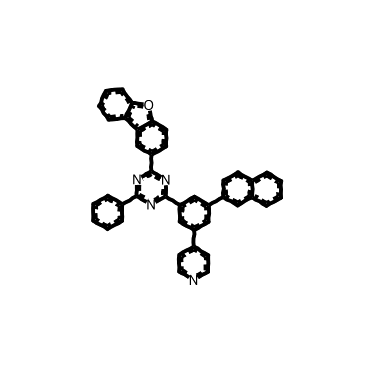 c1ccc(-c2nc(-c3cc(-c4ccncc4)cc(-c4ccc5ccccc5c4)c3)nc(-c3ccc4oc5ccccc5c4c3)n2)cc1